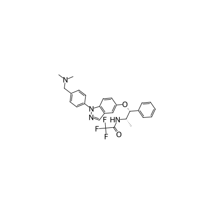 C[C@H](NC(=O)C(F)(F)F)[C@H](Oc1ccc2c(cnn2-c2ccc(CN(C)C)cc2)c1)c1ccccc1